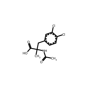 CC(=O)NC(C)(Cc1ccc(Cl)c(Cl)c1)C(=O)O